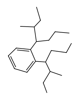 CCCC(c1ccccc1C(CCC)C(C)CC)C(C)CC